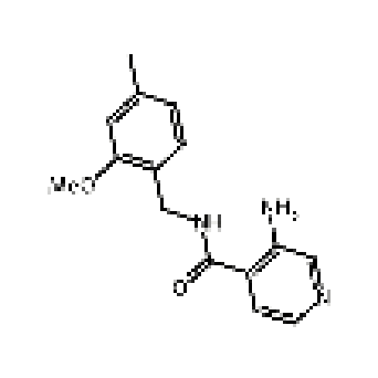 COc1cc(C)ccc1CNC(=O)c1ccncc1N